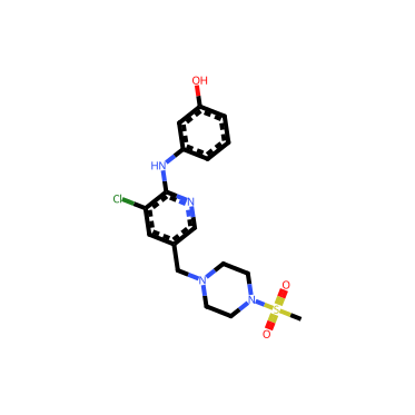 CS(=O)(=O)N1CCN(Cc2cnc(Nc3cccc(O)c3)c(Cl)c2)CC1